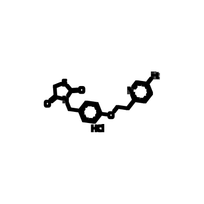 CCc1ccc(CCOc2ccc(CN3C(=O)CSC3=O)cc2)nc1.Cl